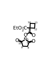 CCOC(=O)C1(C(=O)ON2C(=O)CCC2=O)CCC1